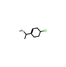 CCCC(C)C1=CCC(Cl)CC1